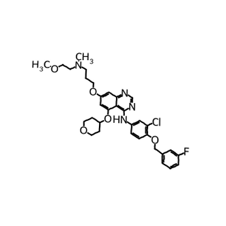 COCCN(C)CCCOc1cc(OC2CCOCC2)c2c(Nc3ccc(OCc4cccc(F)c4)c(Cl)c3)ncnc2c1